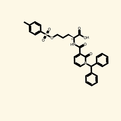 Cc1ccc(S(=O)(=O)OCCC[C@H](NC(=O)c2cccn(C(c3ccccc3)c3ccccc3)c2=O)C(=O)O)cc1